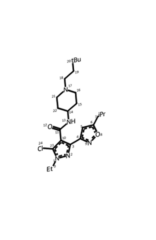 CCn1nc(-c2cc(C(C)C)on2)c(C(=O)NC2CCN(CCC(C)(C)C)CC2)c1Cl